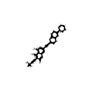 Fc1cc2cc(C#CC3CCC4CC(C5CCCCC5)CCC4C3)cc(F)c2c(F)c1C#CC(F)(F)F